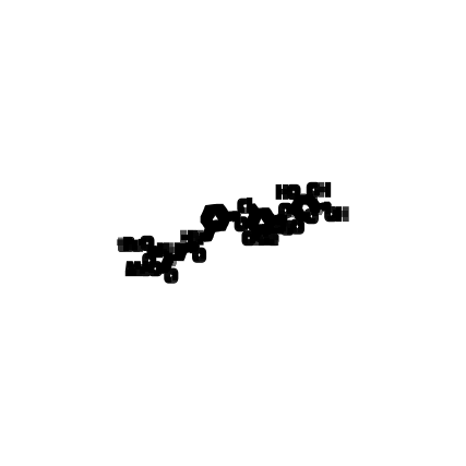 COC(=O)[C@H](CCC(=O)NCc1cccc(COc2cc(OC)c(C(=O)O[C@H]3[C@@H](OC)O[C@H](CO)[C@@H](O)[C@@H]3O)cc2Cl)c1)NC(=O)OC(C)(C)C